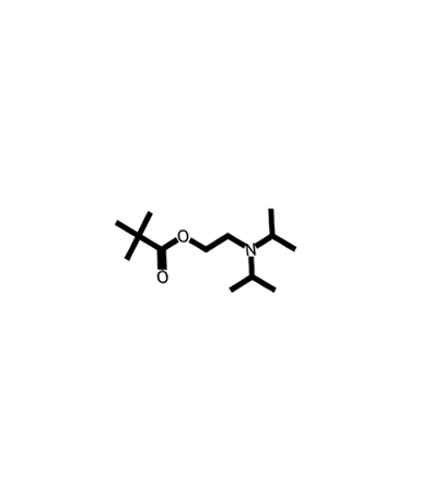 CC(C)N(CCOC(=O)C(C)(C)C)C(C)C